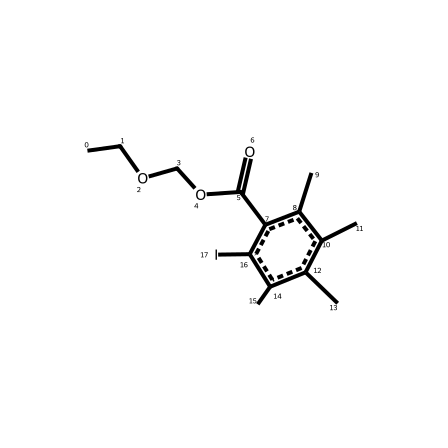 CCOCOC(=O)c1c(C)c(C)c(C)c(C)c1I